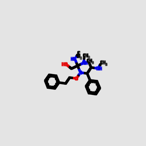 CNC(C)C(c1ccccc1)N(OCCc1ccccc1)C(CO)(NC)NC